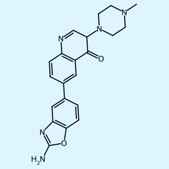 CN1CCN(C2C=Nc3ccc(-c4ccc5oc(N)nc5c4)cc3C2=O)CC1